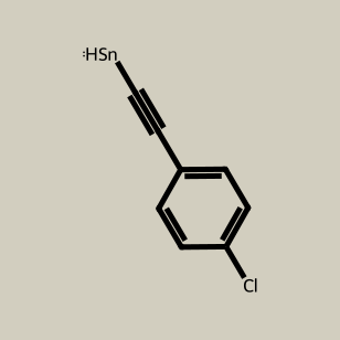 Clc1ccc(C#[C][SnH])cc1